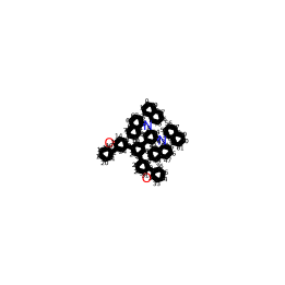 c1ccc2c(N(c3cc(-c4cc(-c5ccc6oc7ccccc7c6c5)cc(-c5ccc6oc7ccccc7c6c5)c4)cc(N(c4cccc5ccccc45)c4cccc5ccccc45)c3)c3cccc4ccccc34)cccc2c1